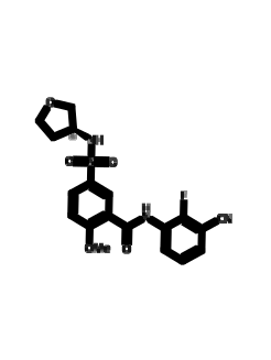 COc1ccc(S(=O)(=O)N[C@H]2CCOC2)cc1C(=O)Nc1cccc(C#N)c1F